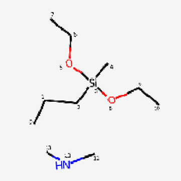 CCC[Si](C)(OCC)OCC.CNC